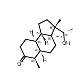 C[C@H](O)[C@@]1(C)CC[C@H]2[C@@H]3CCC(=O)[C@H](C)[C@@H]3CC[C@@]21C